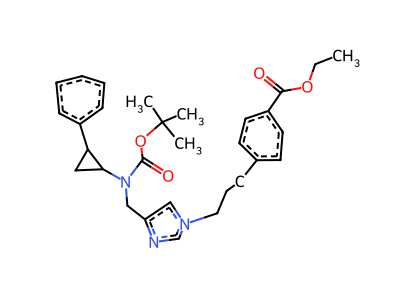 CCOC(=O)c1ccc(CCCn2cnc(CN(C(=O)OC(C)(C)C)C3CC3c3ccccc3)c2)cc1